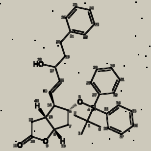 CC(C)(C)[Si](O[C@@H]1C[C@@H]2OC(=O)C[C@@H]2[C@H]1C=CC(O)CCc1ccccc1)(c1ccccc1)c1ccccc1